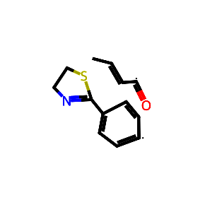 CC=C[C]=O.[c]1ccc(C2=NCCS2)cc1